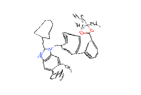 Cc1cc2nc(CC3CCCCC3)n(Cc3ccc(-c4ccccc4C(=O)OC(C)(C)C)cc3)c2cc1C